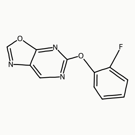 Fc1ccccc1Oc1ncc2ncoc2n1